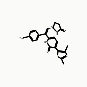 Cc1nc(C)c(-c2ccc(/C(=C\[C@H]3CCC(=O)N3)c3ccc(C(C)(C)C)cc3)[nH]c2=O)s1